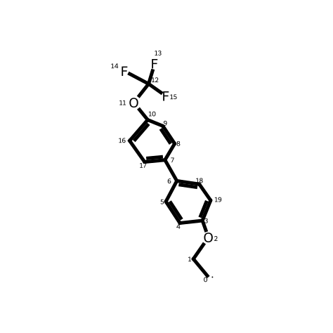 [CH2]COc1ccc(-c2ccc(OC(F)(F)F)cc2)cc1